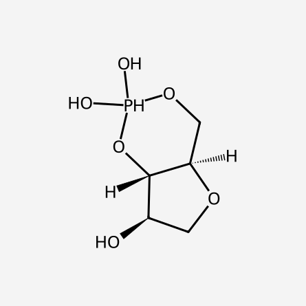 O[C@@H]1CO[C@@H]2CO[PH](O)(O)O[C@@H]12